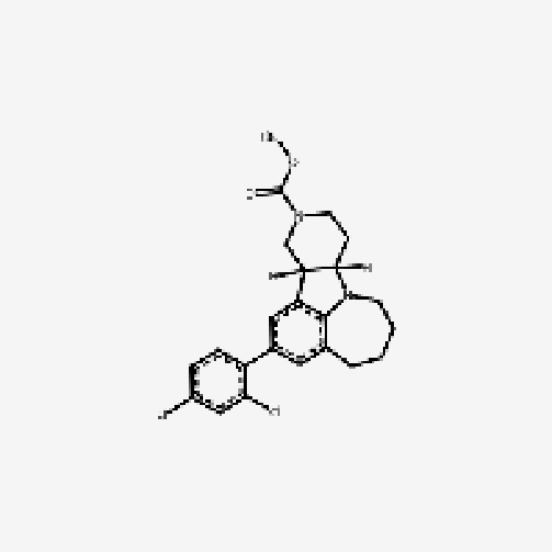 CC(C)(C)OC(=O)N1CC[C@H]2[C@@H](C1)c1cc(-c3ccc(Cl)cc3Cl)cc3c1N2CCCC3